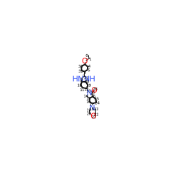 CCOc1ccc(C2Nc3ccc(N4Cc5cc(N6CCOCC6)ccc5C4=O)cc3N2)cc1